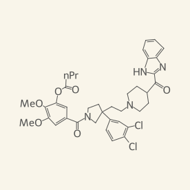 CCCC(=O)Oc1cc(C(=O)N2CCC(CCN3CCC(C(=O)c4nc5ccccc5[nH]4)CC3)(c3ccc(Cl)c(Cl)c3)C2)cc(OC)c1OC